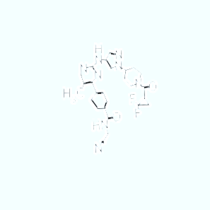 Cc1cnc(Nc2cnn(C3CCN(C(=O)C4CC4(F)F)CC3)c2)nc1-c1ccc(C(=O)NCC#N)cc1